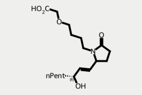 CCCCC[C@@H](O)C=CC1CCC(=O)N1CCCCOCC(=O)O